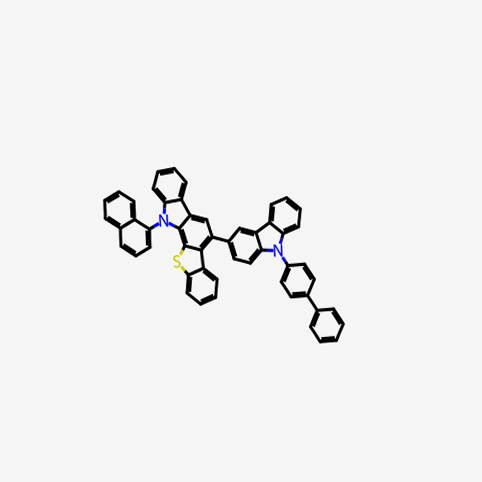 c1ccc(-c2ccc(-n3c4ccccc4c4cc(-c5cc6c7ccccc7n(-c7cccc8ccccc78)c6c6sc7ccccc7c56)ccc43)cc2)cc1